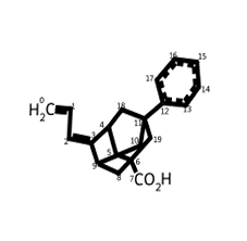 C=CC=C1C2CC3(C(=O)O)CC1CC(c1ccccc1)(C2)C3